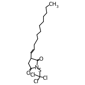 CCCCCCCCCCC=CC1CC(=O)N(SC(Cl)(Cl)Cl)C1=O